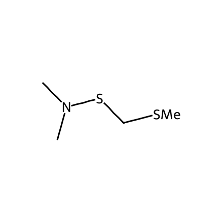 CSCSN(C)C